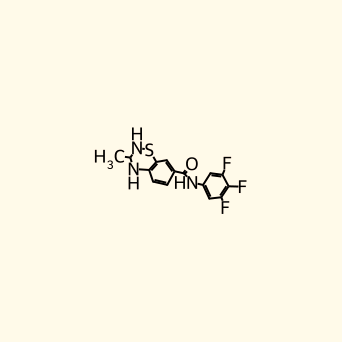 CC1NSc2cc(C(=O)Nc3cc(F)c(F)c(F)c3)ccc2N1